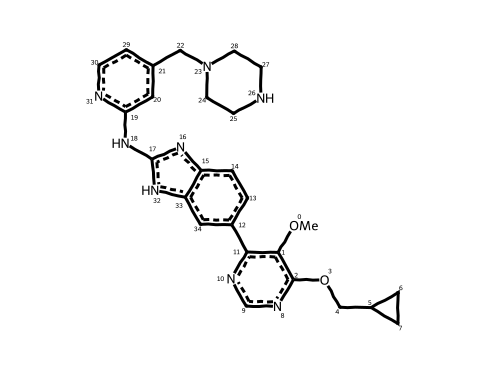 COc1c(OCC2CC2)ncnc1-c1ccc2nc(Nc3cc(CN4CCNCC4)ccn3)[nH]c2c1